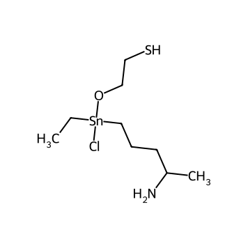 C[CH2][Sn]([Cl])([CH2]CCC(C)N)[O]CCS